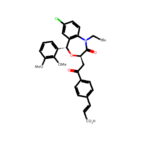 COc1cccc([C@H]2O[C@H](CC(=O)c3ccc(/C=C/C(=O)O)cc3)C(=O)N(CC(C)(C)C)c3ccc(Cl)cc32)c1OC